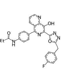 CCC(=O)Nc1ccc(-c2nc(-c3nnc(Cc4ccc(F)cc4)o3)c(O)c3ncccc23)cc1